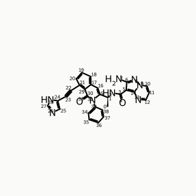 C[C@H](NC(=O)c1c(N)nn2cccnc12)c1cc2cccc(C#Cc3cnc[nH]3)c2c(=O)n1-c1ccccc1